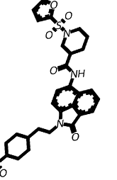 CS(=O)(=O)C1CCC(CCN2C(=O)c3cccc4c(NC(=O)C5CCCN(S(=O)(=O)c6ccco6)C5)ccc2c34)CC1